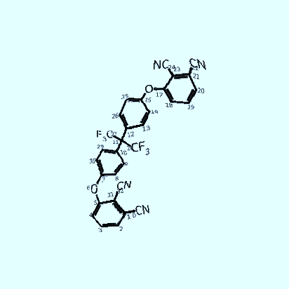 N#Cc1cccc(Oc2ccc(C(c3ccc(Oc4cccc(C#N)c4C#N)cc3)(C(F)(F)F)C(F)(F)F)cc2)c1C#N